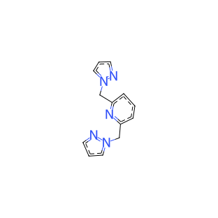 c1cc(Cn2cccn2)nc(Cn2cccn2)c1